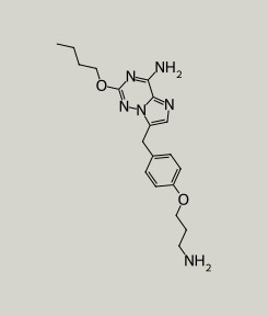 CCCCOc1nc(N)c2ncc(Cc3ccc(OCCCN)cc3)n2n1